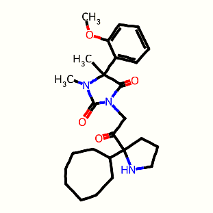 COc1ccccc1C1(C)C(=O)N(CC(=O)C2(C3CCCCCCC3)CCCN2)C(=O)N1C